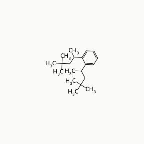 CC(CC(C)(C)C)c1ccccc1C(C)CC(C)(C)C